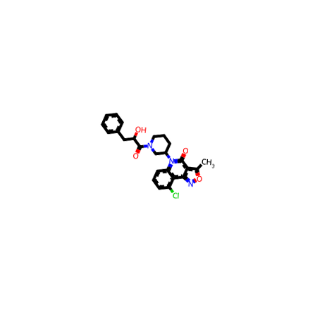 Cc1onc2c1c(=O)n(C1CCCN(C(=O)C(O)Cc3ccccc3)C1)c1cccc(Cl)c21